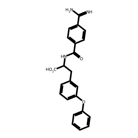 N=C(N)c1ccc(C(=O)NC(Cc2cccc(Oc3ccccc3)c2)C(=O)O)cc1